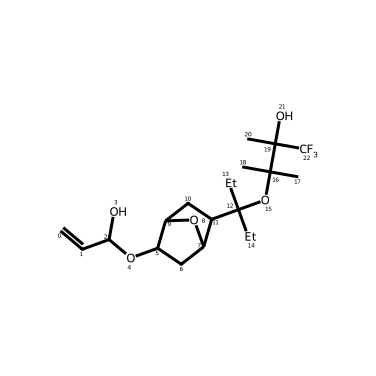 C=CC(O)OC1CC2OC1CC2C(CC)(CC)OC(C)(C)C(C)(O)C(F)(F)F